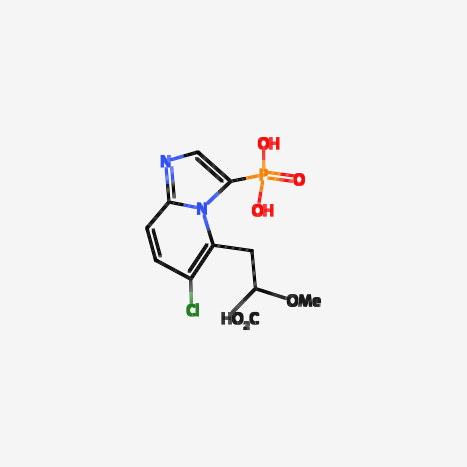 COC(Cc1c(Cl)ccc2ncc(P(=O)(O)O)n12)C(=O)O